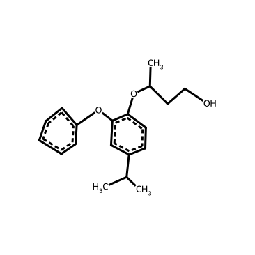 CC(CCO)Oc1ccc(C(C)C)cc1Oc1ccccc1